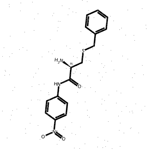 N[C@@H](CSCc1ccccc1)C(=O)Nc1ccc([N+](=O)[O-])cc1